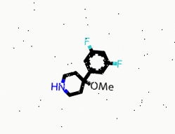 COC1(c2cc(F)cc(F)c2)CCNCC1